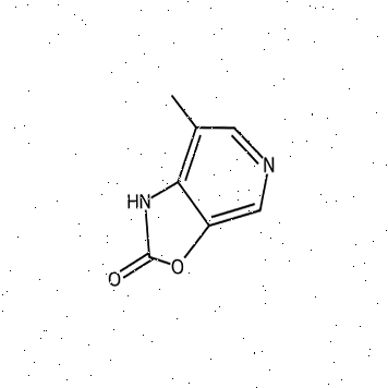 Cc1cncc2oc(=O)[nH]c12